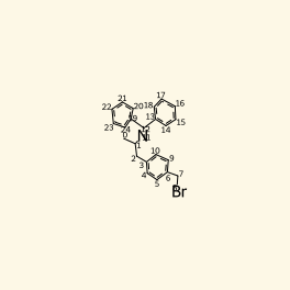 CC(Cc1ccc(CBr)cc1)N=C(c1ccccc1)c1ccccc1